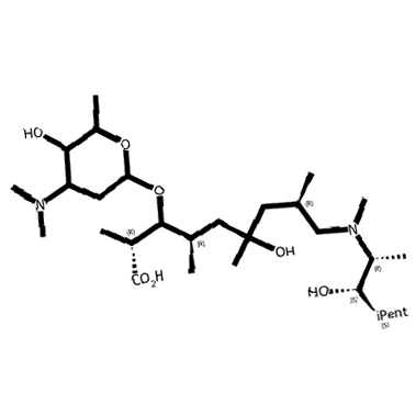 CCC[C@H](C)[C@H](O)[C@@H](C)N(C)C[C@H](C)CC(C)(O)C[C@@H](C)C(OC1CC(N(C)C)C(O)C(C)O1)[C@@H](C)C(=O)O